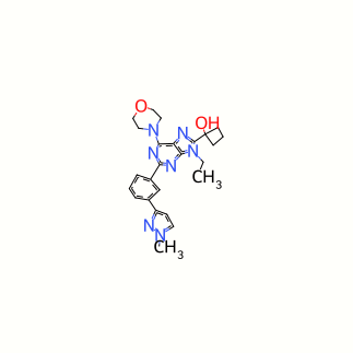 CCn1c(C2(O)CCC2)nc2c(N3CCOCC3)nc(-c3cccc(-c4ccn(C)n4)c3)nc21